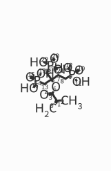 C=C(C)C(=O)OC(CCP(=O)(O)O)(CP(=O)(O)O)CP(=O)(O)O